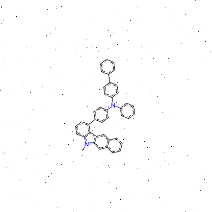 Cn1c2cc3ccccc3cc2c2c(-c3ccc(N(c4ccccc4)c4ccc(-c5ccccc5)cc4)cc3)cccc21